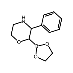 c1ccc(C2NCCOC2B2OCCO2)cc1